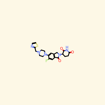 O=C1CCC(N2Cc3cc(N4CCN(Cc5nccs5)CC4)c(F)cc3C2=O)C(=O)N1